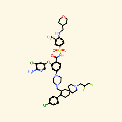 Nc1ncc(Oc2cc(N3CCN(CC4=C(c5ccc(Cl)cc5)CCC5(CCN(CC(F)CF)CC5)C4)CC3)ccc2C(=O)NS(=O)(=O)c2ccc(NCC3CCOCC3)c([N+](=O)[O-])c2)cc1Cl